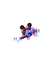 CCNC(=O)C(=O)NC1CCN(C(=O)[C@@H](CCCCN)NC(=O)[C@@H](CC(C)C)NC(=O)[C@@H](Cc2ccccc2)NC(=O)[C@H](N)Cc2ccccc2)CC1